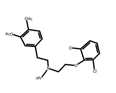 CCCN(CCOc1c(Cl)cccc1Cl)CCc1ccc(OC(C)=O)c(OC(C)=O)c1